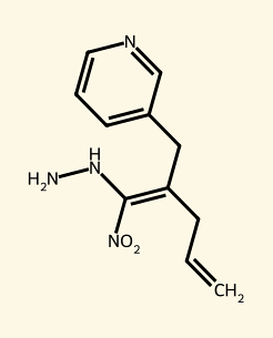 C=CCC(Cc1cccnc1)=C(NN)[N+](=O)[O-]